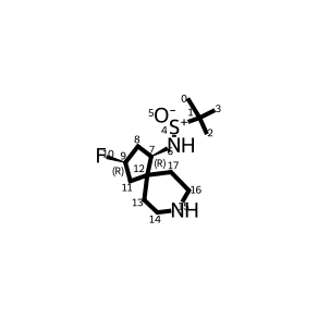 CC(C)(C)[S+]([O-])N[C@@H]1C[C@H](F)CC12CCNCC2